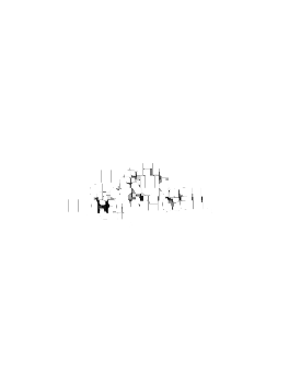 Cc1nn(C/C(F)=C/CNC(=O)OC(C)(C)C)c(C(=O)NC(C)(C)C)c1-c1ccc(Cl)c(S(=O)(=O)N(C)C)c1